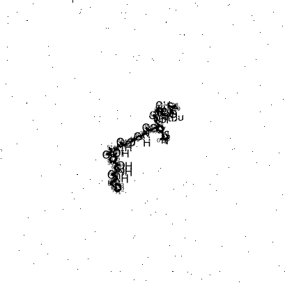 Cc1ncsc1-c1ccc(CNC(=O)[C@@H]2C[C@@H](O)CN2C(=O)[C@@H](NC(=O)C2(F)CC2)C(C)(C)C)c(OCC(=O)NCCOCCOCCC(=O)NCCN(C)C(=O)c2ccc(/C(O)=C/C(=N)C(=O)NC3CCc4ccccc43)cc2O)c1